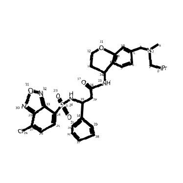 CC(C)CN(C)Cc1ccc2c(c1)OCCC2NC(=O)CC(NS(=O)(=O)c1ccc(Cl)c2nonc12)c1ccccc1